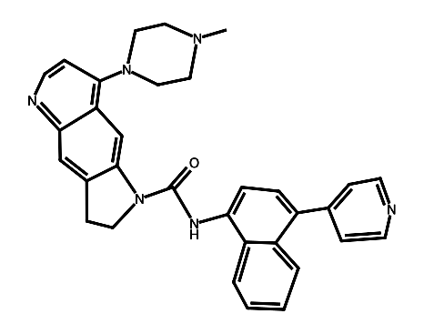 CN1CCN(c2ccnc3cc4c(cc23)N(C(=O)Nc2ccc(-c3ccncc3)c3ccccc23)CC4)CC1